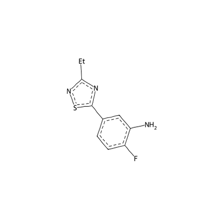 CCc1nsc(-c2ccc(F)c(N)c2)n1